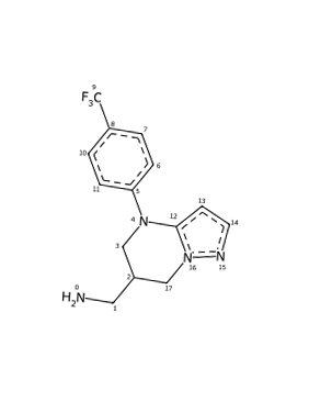 NCC1CN(c2ccc(C(F)(F)F)cc2)c2ccnn2C1